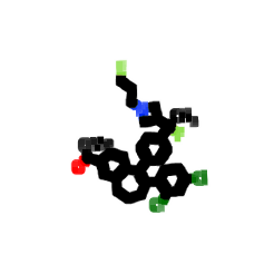 COC(=O)c1ccc2c(c1)CCCC(c1ccc(Cl)cc1Cl)=C2c1ccc(C(C)(F)C2CN(CCCF)C2)cc1